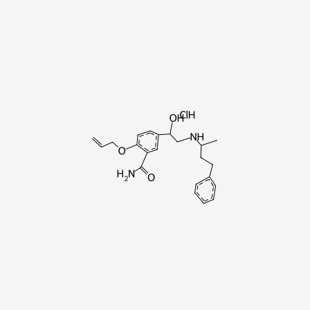 C=CCOc1ccc(C(O)CNC(C)CCc2ccccc2)cc1C(N)=O.Cl